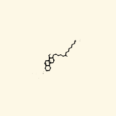 CC(CCCCCCCBr)CCC[C@@H](C)[C@H]1CC[C@H]2[C@@H]3CC=C4C[C@@H](OC(=O)O)CC[C@]4(C)[C@H]3CC[C@]12C